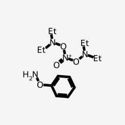 CCN(CC)O[N+](=O)ON(CC)CC.NOc1ccccc1